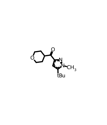 Cn1nc(C(=O)C2CCOCC2)cc1C(C)(C)C